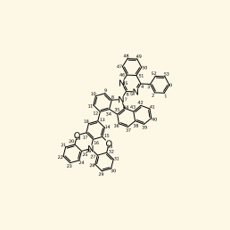 c1ccc(-c2nc(-n3c4cccc(-c5cc6c7c(c5)Oc5ccccc5N7c5ccccc5O6)c4c4ccc5ccccc5c43)nc3ccccc23)cc1